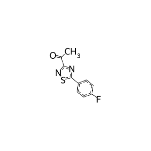 CC(=O)c1nsc(-c2ccc(F)cc2)n1